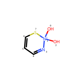 O[N+]1(O)N=CC=CS1